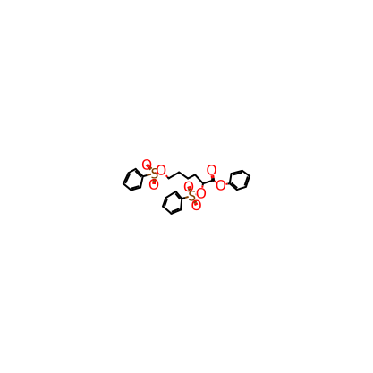 O=C(Oc1ccccc1)C(CCCCOS(=O)(=O)c1ccccc1)OS(=O)(=O)c1ccccc1